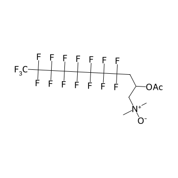 CC(=O)OC(CC(F)(F)C(F)(F)C(F)(F)C(F)(F)C(F)(F)C(F)(F)C(F)(F)C(F)(F)F)C[N+](C)(C)[O-]